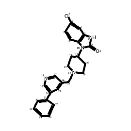 O=c1[nH]c2cc(Cl)ccc2n1C1CCN(Cc2cncc(-c3ccccc3)c2)CC1